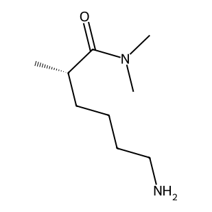 C[C@@H](CCCCN)C(=O)N(C)C